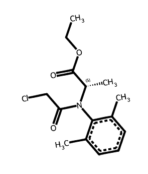 CCOC(=O)[C@H](C)N(C(=O)CCl)c1c(C)cccc1C